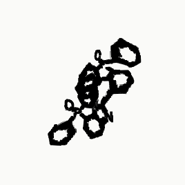 O=P(c1ccccc1)(c1ccccc1)c1cccc2c1c1ccccc1n1c2nc2cccc(P(=O)(c3ccccc3)c3ccccc3)c21